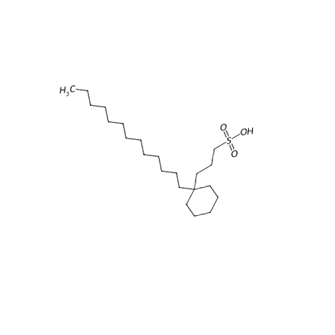 CCCCCCCCCCCCCC1(CCCS(=O)(=O)O)CCCCC1